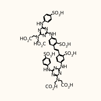 O=C(O)CN(CC(=O)O)c1nc(Nc2ccc(S(=O)(=O)O)cc2)nc(Nc2ccc(/C=C/c3ccc(Nc4nc(Nc5ccc(S(=O)(=O)O)cc5)nc(N(CC(=O)O)CC(=O)O)n4)cc3S(=O)(=O)O)c(S(=O)(=O)O)c2)n1